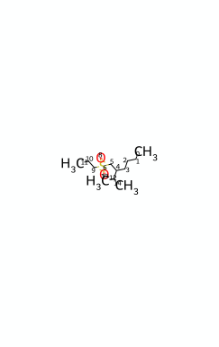 CCCCC(CS(=O)(=O)CCC)C(C)C